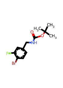 CC(C)(C)OC(=O)NCc1ccc(Br)c(F)c1